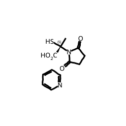 C[C@](S)(C(=O)O)N1C(=O)CCC1=O.c1ccncc1